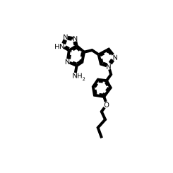 CCCCOc1cccc(Cn2cc(Cc3cc(N)nc4[nH]nnc34)cn2)c1